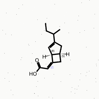 CCC(C)C1=C[C@@H]2/C(=C\C(=O)O)C[C@@H]2C1